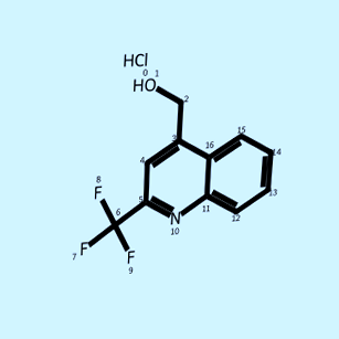 Cl.OCc1cc(C(F)(F)F)nc2ccccc12